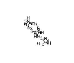 Cc1[nH]cnc1CCN/C(=N/CCSCc1nc[nH]c1C)NC#N